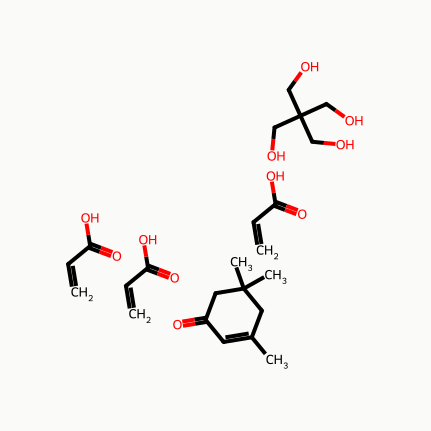 C=CC(=O)O.C=CC(=O)O.C=CC(=O)O.CC1=CC(=O)CC(C)(C)C1.OCC(CO)(CO)CO